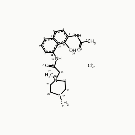 CC(=O)Nc1ccc2cccc(NC(=O)C[N+]3(C)CCN(C)CC3)c2c1O.[Cl-]